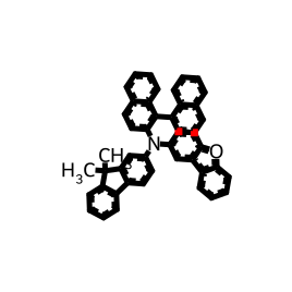 CC1(C)c2ccccc2-c2ccc(N(c3ccc4oc5ccccc5c4c3)c3ccc4ccccc4c3-c3cccc4ccccc34)cc21